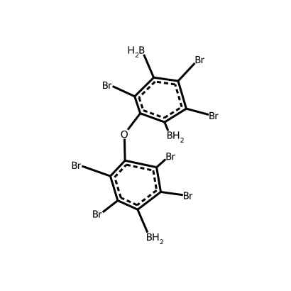 Bc1c(Br)c(Br)c(Oc2c(B)c(Br)c(Br)c(B)c2Br)c(Br)c1Br